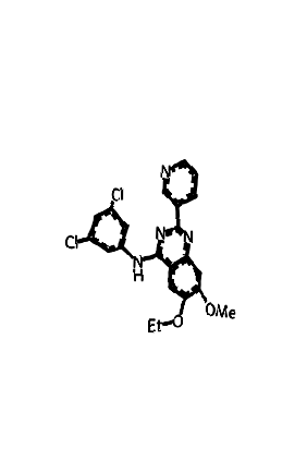 CCOc1cc2c(Nc3cc(Cl)cc(Cl)c3)nc(-c3cccnc3)nc2cc1OC